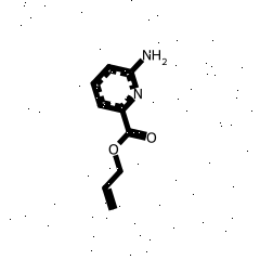 C=CCOC(=O)c1cccc(N)n1